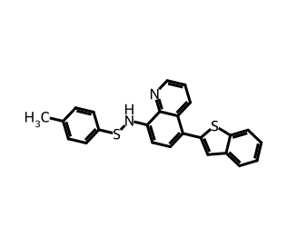 Cc1ccc(SNc2ccc(-c3cc4ccccc4s3)c3cccnc23)cc1